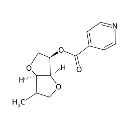 CC1CO[C@H]2[C@@H]1OC[C@H]2OC(=O)c1ccncc1